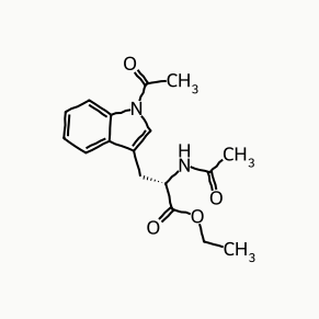 CCOC(=O)[C@H](Cc1cn(C(C)=O)c2ccccc12)NC(C)=O